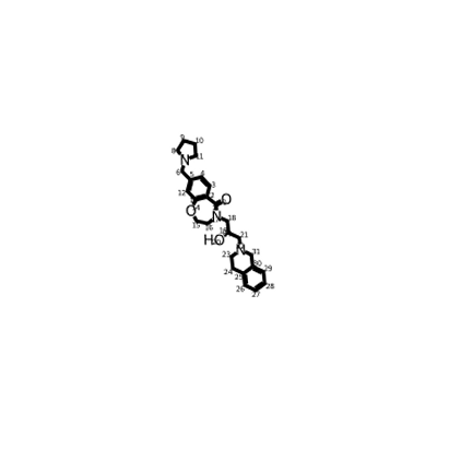 O=C1c2ccc(CN3CCCC3)cc2OCCN1C[C@H](O)CN1CCc2ccccc2C1